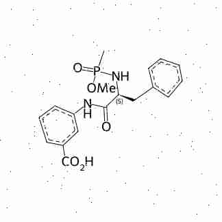 COP(C)(=O)N[C@@H](Cc1ccccc1)C(=O)Nc1cccc(C(=O)O)c1